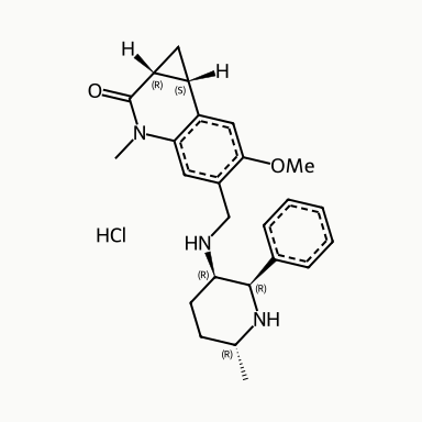 COc1cc2c(cc1CN[C@@H]1CC[C@@H](C)N[C@@H]1c1ccccc1)N(C)C(=O)[C@@H]1C[C@H]21.Cl